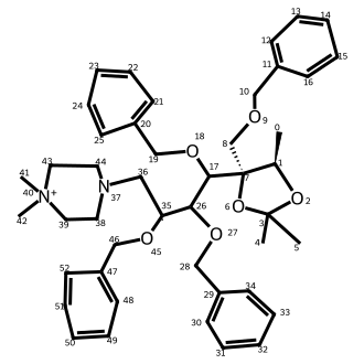 C[C@H]1OC(C)(C)O[C@@]1(COCc1ccccc1)C(OCc1ccccc1)C(OCc1ccccc1)[C](CN1CC[N+](C)(C)CC1)OCc1ccccc1